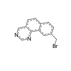 BrCc1ccc2ccc3cncnc3c2c1